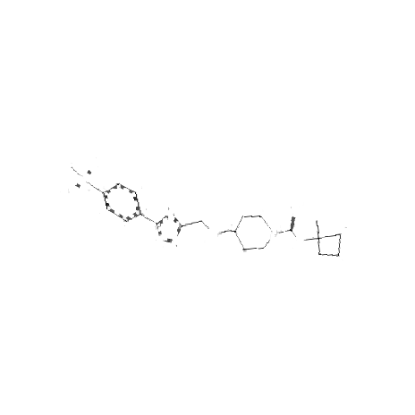 CC1(OC(=O)N2CCC(OCc3noc(-c4ccc(S(C)(=O)=O)cc4)n3)CC2)CCC1